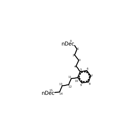 CCCCCCCCCCCCCCc1ccccc1CCCCCCCCCCCCCC